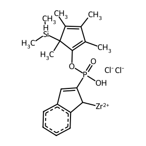 CC1=C(C)C(C)([SiH](C)C)C(OP(=O)(O)C2=Cc3ccccc3[CH]2[Zr+2])=C1C.[Cl-].[Cl-]